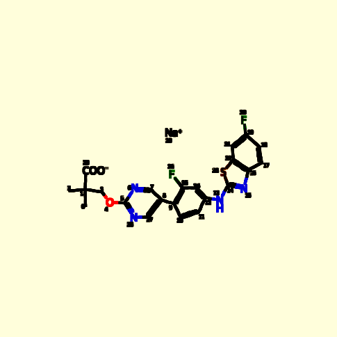 CC(C)(COc1ncc(-c2ccc(Nc3nc4ccc(F)cc4s3)cc2F)cn1)C(=O)[O-].[Na+]